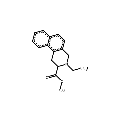 CC(C)(C)OC(=O)C1Cc2c(ccc3ccccc23)CN1CC(=O)O